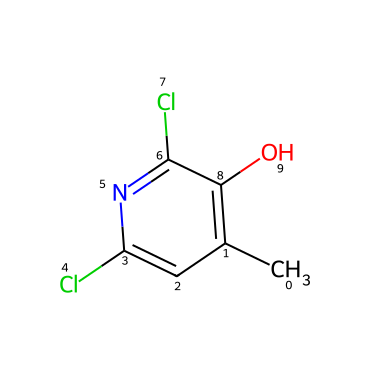 Cc1cc(Cl)nc(Cl)c1O